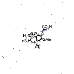 CCCCC1CN(C23CC(C2)C3)c2cc(SC)c(O/C=C(\F)C(=O)O)cc2S(=O)(=O)N1C